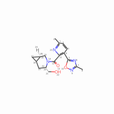 Cc1ccc(-c2nc(C)no2)c(C(=O)N2C[C@@H]3CC3C[C@H]2CO)n1